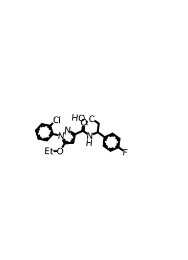 CCOc1cc(C(=O)NC(CC(=O)O)c2ccc(F)cc2)nn1-c1ccccc1Cl